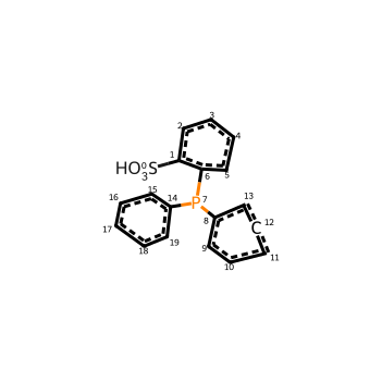 O=S(=O)(O)c1ccccc1P(c1ccccc1)c1ccccc1